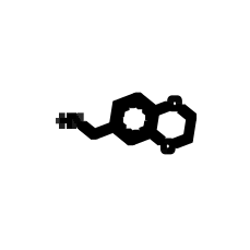 [NH]Cc1ccc2c(c1)OCCO2